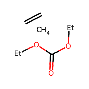 C.C=C.CCOC(=O)OCC